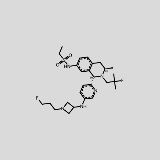 CCS(=O)(=O)Nc1ccc2c(c1)[C@@H](c1ccc(NC3CN(CCCF)C3)cn1)N(CC(C)(C)F)[C@H](C)C2